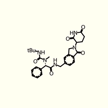 CN(C(=O)NC(C)(C)C)[C@H](C(=O)NCc1ccc2c(c1)CN(C1CCC(=O)NC1=O)C2=O)c1ccccc1